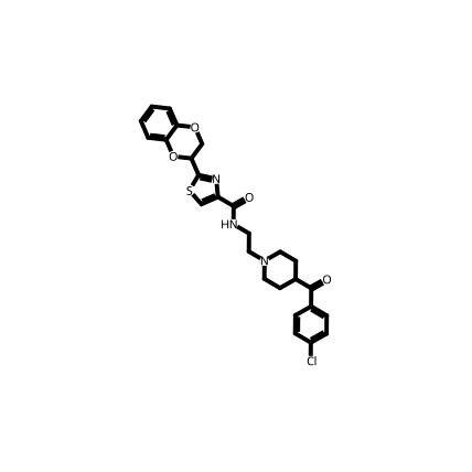 O=C(NCCN1CCC(C(=O)c2ccc(Cl)cc2)CC1)c1csc(C2COc3ccccc3O2)n1